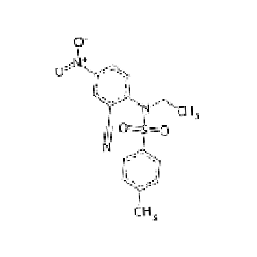 CCN(c1ccc([N+](=O)[O-])cc1C#N)S(=O)(=O)c1ccc(C)cc1